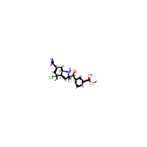 COC(=O)c1cccc(C(=O)C2(Cl)C=C3C(=CC(C#N)=CC3(C)Cl)N2C)c1